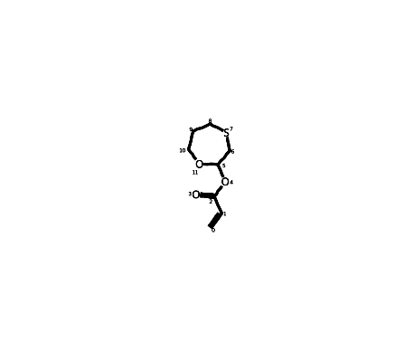 C=CC(=O)OC1CSCCCO1